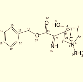 [BH3-][N+]12CCC(CC1)[C@](O)(C(=N)C(=O)OCc1ccccc1)C2